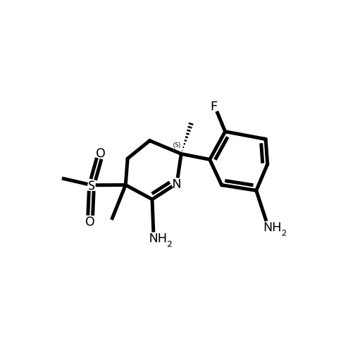 CC1(S(C)(=O)=O)CC[C@@](C)(c2cc(N)ccc2F)N=C1N